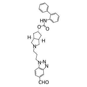 O=Cc1ccc2c(c1)nnn2CCCN1C[C@H]2C[C@H](OC(=O)Nc3ccccc3-c3ccccc3)C[C@H]2C1